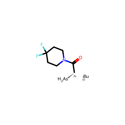 CC[C@H](C)[C@H]([AsH2])C(=O)N1CCC(F)(F)CC1